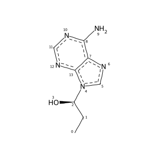 C[CH][C@@H](O)n1cnc2c(N)ncnc21